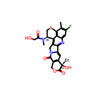 CC[C@@]1(O)C(=O)OCc2c1cc1n(c2=O)Cc2c-1nc1cc(F)c(C)c3c1c2[C@@H](N(C)C(=O)CO)CS3